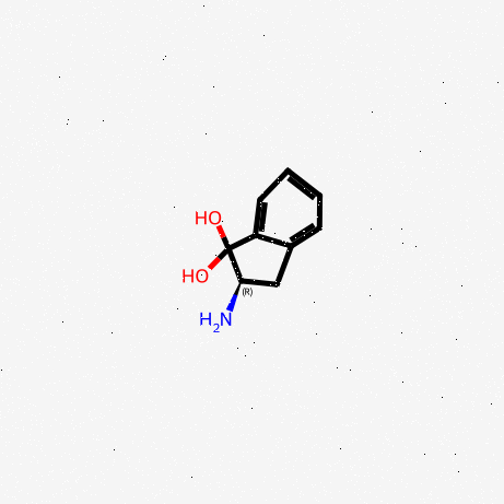 N[C@@H]1Cc2ccccc2C1(O)O